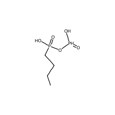 CCCCP(=O)(O)O[PH](=O)O